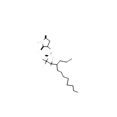 CCCCCCCCC(CCC)C(F)(F)C(F)(F)S(=O)(=O)OC1CC(=O)NC1=O